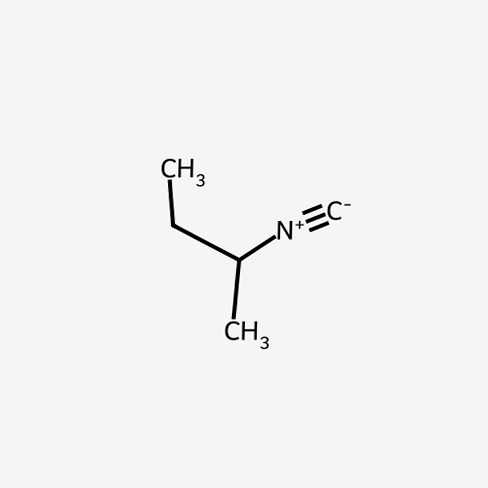 [C-]#[N+]C(C)CC